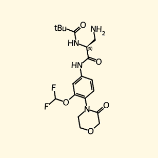 CC(C)(C)C(=O)N[C@@H](CN)C(=O)Nc1ccc(N2CCOCC2=O)c(OC(F)F)c1